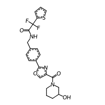 O=C(c1coc(-c2ccc(CNC(=O)C(F)(F)c3cccs3)cc2)n1)N1CCCC(O)C1